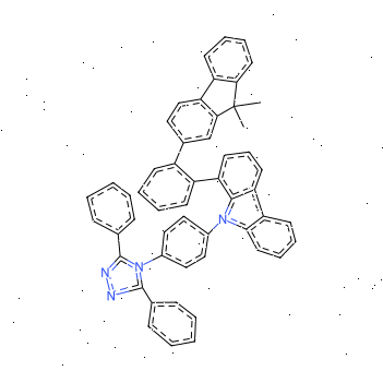 CC1(C)c2ccccc2-c2ccc(-c3ccccc3-c3cccc4c5ccccc5n(-c5ccc(-n6c(-c7ccccc7)nnc6-c6ccccc6)cc5)c34)cc21